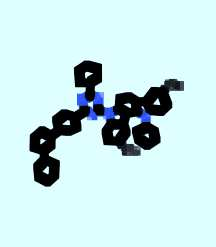 CC(C)(C)c1ccc2c(c1)c1c(ccc3c4cc(C(C)(C)C)ccc4n(-c4ccccc4)c31)n2-c1nc(-c2ccccc2)nc(-c2ccc(-c3cccc(-c4ccccc4)c3)cc2)n1